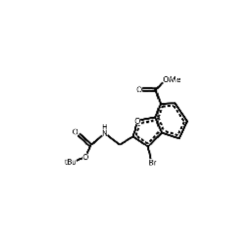 COC(=O)c1cccc2c(Br)c(CNC(=O)OC(C)(C)C)oc12